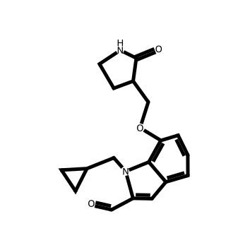 O=Cc1cc2cccc(OCC3CCNC3=O)c2n1CC1CC1